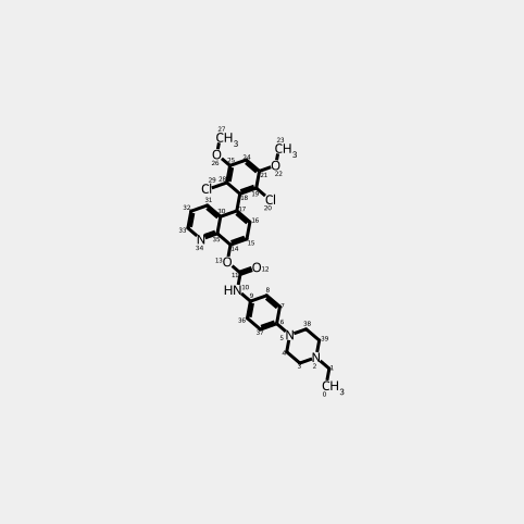 CCN1CCN(c2ccc(NC(=O)Oc3ccc(-c4c(Cl)c(OC)cc(OC)c4Cl)c4cccnc34)cc2)CC1